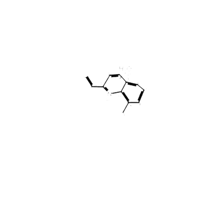 C=Cc1ccc2cccc(C)c2n1.O